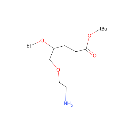 CCOC(CCC(=O)OC(C)(C)C)COCCN